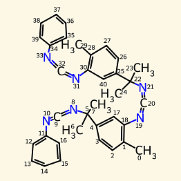 Cc1ccc(C(C)(C)N=C=Nc2ccccc2)cc1N=C=NC(C)(C)c1ccc(C)c(N=C=Nc2ccccc2)c1